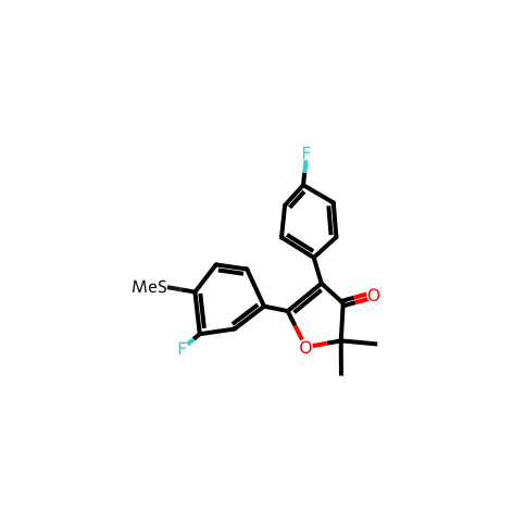 CSc1ccc(C2=C(c3ccc(F)cc3)C(=O)C(C)(C)O2)cc1F